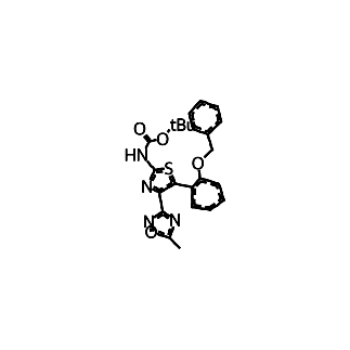 Cc1nc(-c2nc(NC(=O)OC(C)(C)C)sc2-c2ccccc2OCc2ccccc2)no1